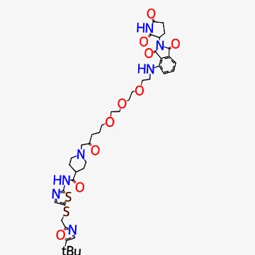 CC(C)(C)c1cnc(CSc2cnc(NC(=O)C3CCN(CC(=O)CCCOCCOCCOCCNc4cccc5c4C(=O)N(C4CCC(=O)NC4=O)C5=O)CC3)s2)o1